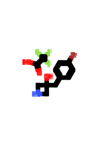 O=C(O)C(F)(F)F.OC1(Cc2ccc(Br)cc2)CNC1